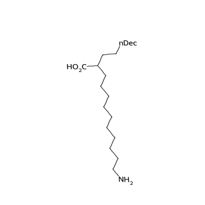 CCCCCCCCCCCCC(CCCCCCCCCCN)C(=O)O